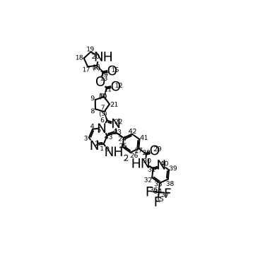 Nc1nccn2c([C@H]3CC[C@@H](C(=O)OC(=O)[C@H]4CCCN4)C3)nc(-c3ccc(C(=O)Nc4cc(C(F)(F)F)ccn4)cc3)c12